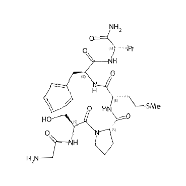 CSCC[C@H](NC(=O)[C@@H]1CCCN1C(=O)[C@H](CO)NC(=O)CN)C(=O)N[C@@H](Cc1ccccc1)C(=O)N[C@H](C(N)=O)C(C)C